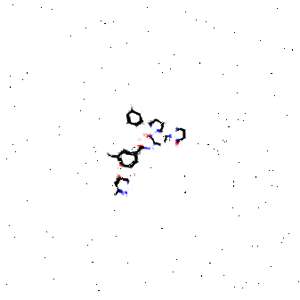 Cc1cc(Oc2ccc(C(=O)NC(C)C(=O)N3[C@@H](C(C)N4CCCC4=O)CC[C@H]3c3cccc(Cl)c3)cc2C)c(=O)[nH]n1